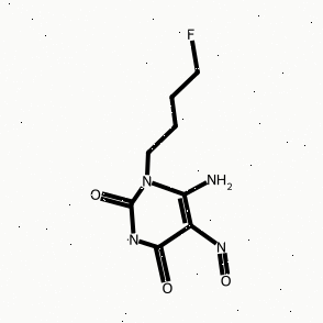 NC1=C(N=O)C(=O)[N]C(=O)N1CCCCF